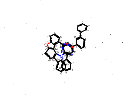 c1ccc(-c2cccc(-c3nc(-c4ccccc4)nc(-c4cccc5oc6ccc7c8ccccc8n(-c8ccccc8)c7c6c45)n3)c2)cc1